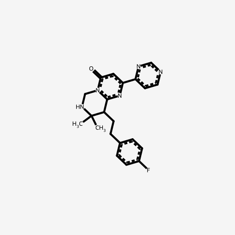 CC1(C)NCn2c(nc(-c3ccncn3)cc2=O)C1CCc1ccc(F)cc1